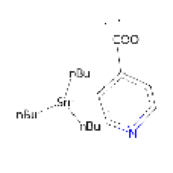 CCC[CH2][Sn+]([CH2]CCC)[CH2]CCC.O=C([O-])c1ccncc1